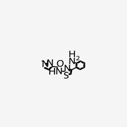 Cn1ccc(C(=O)Nc2nc(-c3ccccc3N)cs2)n1